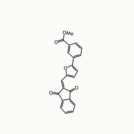 COC(=O)c1cccc(-c2ccc(C=C3C(=O)c4ccccc4C3=O)o2)c1